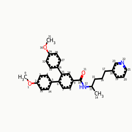 COc1ccc(-c2ccc(C(=O)NC(C)CCCc3cccnc3)cc2-c2ccc(OC)cc2)cc1